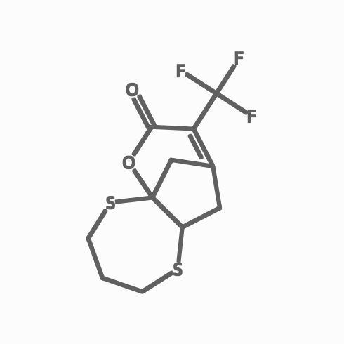 O=C1OC23CC(=C1C(F)(F)F)CC2SCCCS3